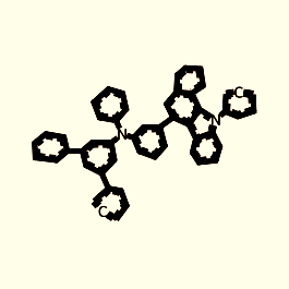 c1ccc(-c2cc(-c3ccccc3)cc(N(c3ccccc3)c3cccc(-c4cc5ccccc5c5c4c4ccccc4n5-c4ccccc4)c3)c2)cc1